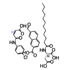 CCCCCCCCCCCC(=O)N[C@@H](CC(=O)O)C(=O)O.O=C(O)/C=C\C(=O)Nc1ccc(Cl)cc1.O=Cc1ccc2ccc(C(=O)O)cc2c1